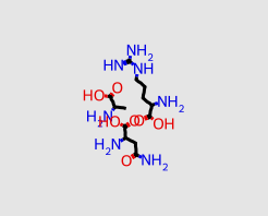 CC(N)C(=O)O.N=C(N)NCCCC(N)C(=O)O.NC(=O)CC(N)C(=O)O